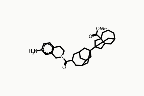 COC(=O)C12CCCC3CC1CC(C14CC5CC(C(=O)N6CCc7ccc(N)cc7C6)CC(C1)C(C5)C4)(C3)C2